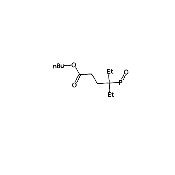 CCCCOC(=O)CCC(CC)(CC)P=O